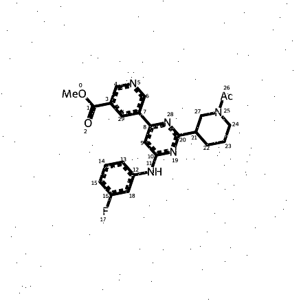 COC(=O)c1cncc(-c2cc(Nc3cccc(F)c3)nc(C3CCCN(C(C)=O)C3)n2)c1